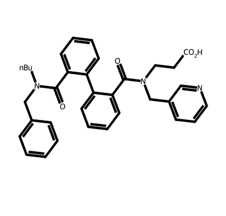 CCCCN(Cc1ccccc1)C(=O)c1ccccc1-c1ccccc1C(=O)N(CCC(=O)O)Cc1cccnc1